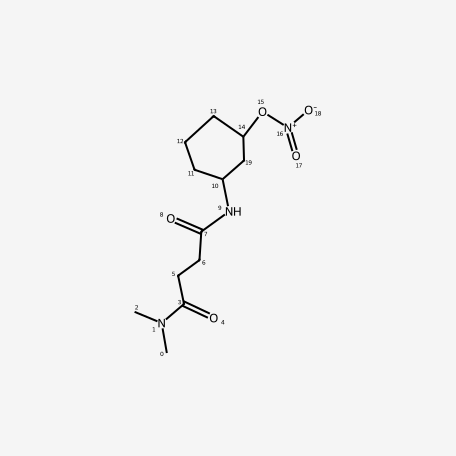 CN(C)C(=O)CCC(=O)NC1CCCC(O[N+](=O)[O-])C1